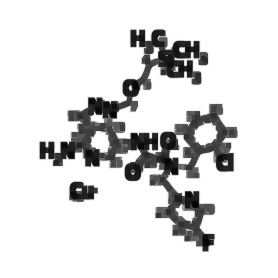 C[Si](C)(C)CCOCn1ncc2c(N)ncc(NC(=O)C(=O)N(Cc3ccc(F)cn3)Cc3ccccc3Cl)c21.[Cu]